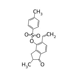 C=Cc1ccc2c(c1OS(=O)(=O)c1ccc(C)cc1)CC(C)C2=O